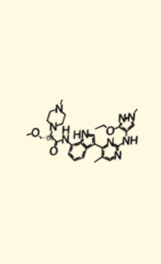 CCOc1nn(C)cc1Nc1ncc(C)c(-c2c[nH]c3c(NC(=O)[C@H](COC)N4CCN(C)CC4)cccc23)n1